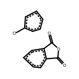 Clc1ccccc1.O=C1OC(=O)c2ccccc21